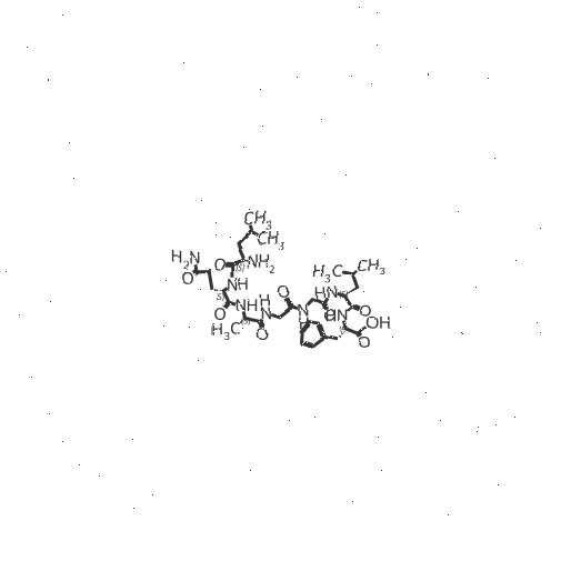 CC(C)C[C@H](NC(=O)CNC(=O)CNC(=O)[C@H](C)NC(=O)[C@H](CCC(N)=O)NC(=O)[C@@H](N)CC(C)C)C(=O)N[C@@H](Cc1ccccc1)C(=O)O